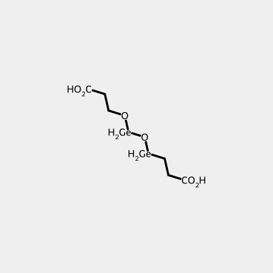 O=C(O)CC[O][GeH2][O][GeH2][CH2]CC(=O)O